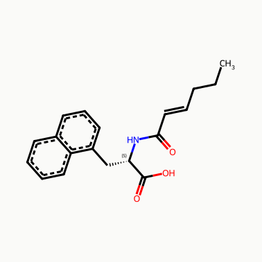 CCCC=CC(=O)N[C@@H](Cc1cccc2ccccc12)C(=O)O